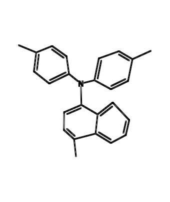 Cc1ccc(N(c2ccc(C)cc2)c2ccc(C)c3ccccc23)cc1